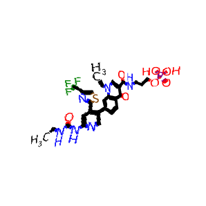 CCNC(=O)Nc1cc(-c2nc(C(F)(F)F)cs2)c(-c2ccc3c(=O)c(C(=O)NCCCOP(=O)(O)O)cn(CC)c3c2)cn1